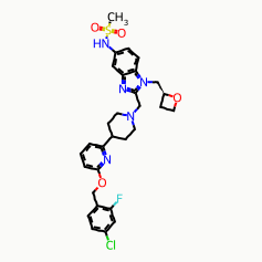 CS(=O)(=O)Nc1ccc2c(c1)nc(CN1CCC(c3cccc(OCc4ccc(Cl)cc4F)n3)CC1)n2C[C@@H]1CCO1